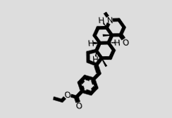 CCOC(=O)c1ccc(/C=C2\CC[C@H]3[C@@H]4CC[C@H]5N(C)CCC(=O)[C@]5(C)[C@H]4CC[C@]23C)cc1